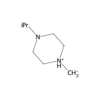 [CH2-][NH+]1CCN(C(C)C)CC1